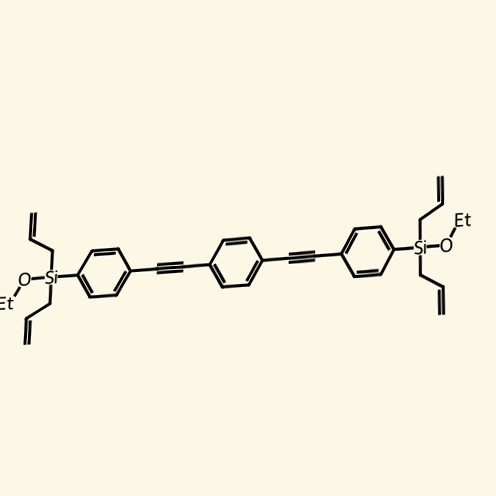 C=CC[Si](CC=C)(OCC)c1ccc(C#Cc2ccc(C#Cc3ccc([Si](CC=C)(CC=C)OCC)cc3)cc2)cc1